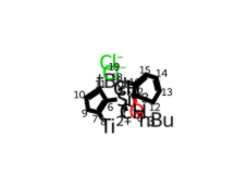 CCCCOC1([Si](C)(C)C2=[C]([Ti+2])CC=C2)CC=CC=C1C(C)(C)C.[Cl-].[Cl-]